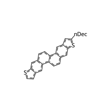 CCCCCCCCCCc1cc2cc3c(ccc4c5cc6ccsc6cc5ccc34)cc2s1